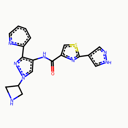 O=C(Nc1cn(C2CNC2)nc1-c1ccccn1)c1csc(-c2cn[nH]c2)n1